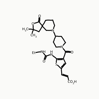 CCNC(=O)Nc1sc(/C=C/C(=O)O)cc1C(=O)N1CCC(N2CCCC3(C2)CC(C)(C)OC3=O)CC1